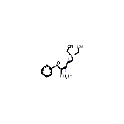 CCOC(=O)/C(=C/C=C/N(CC#N)CC#N)C(=O)c1ccccc1